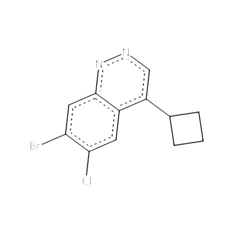 Clc1cc2c(C3CCC3)cnnc2cc1Br